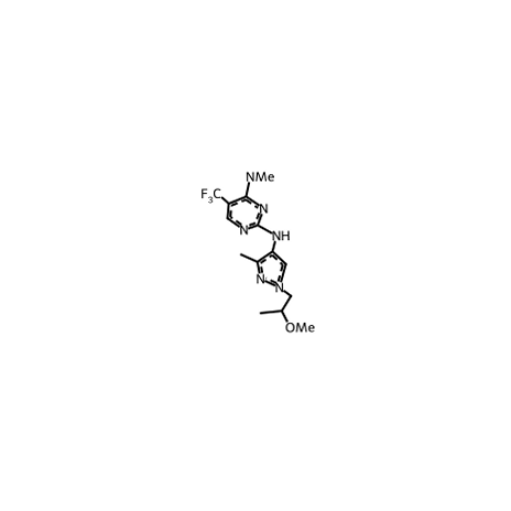 CNc1nc(Nc2cn(CC(C)OC)nc2C)ncc1C(F)(F)F